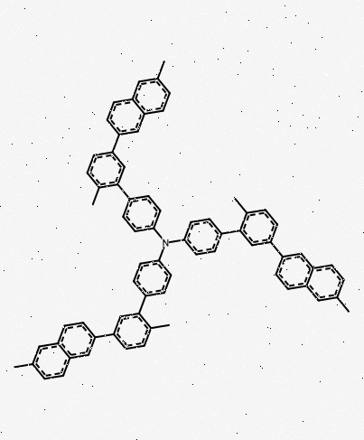 Cc1ccc2cc(-c3ccc(C)c(-c4ccc(N(c5ccc(-c6cc(-c7ccc8cc(C)ccc8c7)ccc6C)cc5)c5ccc(-c6cc(-c7ccc8cc(C)ccc8c7)ccc6C)cc5)cc4)c3)ccc2c1